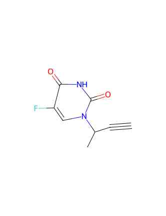 C#CC(C)n1cc(F)c(=O)[nH]c1=O